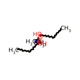 CCCCCCCC/C=C\CCCCCCCC(O)OCC(C[N+](C)(C)C)OC(O)CCCCCCC/C=C\CCCCCCCC